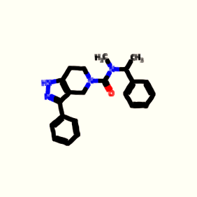 CC(c1ccccc1)N(C)C(=O)N1CCc2[nH]nc(-c3ccccc3)c2C1